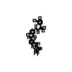 O=C(CS(=O)(=O)CC(F)(F)F)Nc1c(F)ccc(NC(=O)c2cc(NC(=O)[C@H]3[C@H](c4ccc(Cl)c(Cl)c4)C3(Cl)Cl)ccc2Cl)c1F